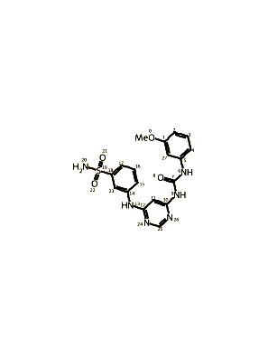 COc1cccc(NC(=O)Nc2cc(Nc3cccc(S(N)(=O)=O)c3)ncn2)c1